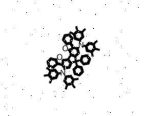 Cc1cc(N(c2cc(C)c(C)c(C)c2)c2cc3c(c4oc5ccccc5c24)-c2c(cc(N(c4cc(C)c(C)c(C)c4)c4cc(C)c(C)c(C)c4)c4c2oc2ccccc24)C3(c2ccccc2)c2ccccc2)cc(C)c1C